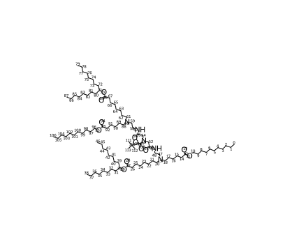 CCCCCCCCCCCOC(=O)CCCCCN(CCCCCCCC(=O)OC(CCCCCCCC)CCCCCCCC)CCNC(=O)CN(CC(=O)NCCN(CCCCCCCC(=O)OC(CCCCCCCC)CCCCCCCC)CCCCCC(=O)OCCCCCCCCCCC)C(=O)OC(C)(C)C